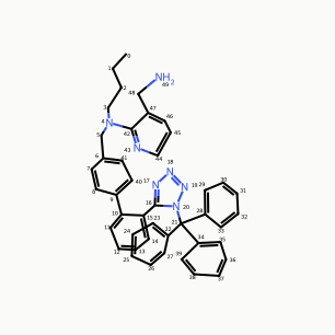 CCCCN(Cc1ccc(-c2ccccc2-c2nnnn2C(c2ccccc2)(c2ccccc2)c2ccccc2)cc1)c1ncccc1CN